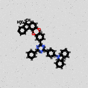 CC1(C)c2ccccc2-c2c1ccc1c2Oc2cc(-c3nc(-c4ccccc4)nc(-c4ccc(-n5c6ccccc6c6ccccc65)cc4)n3)ccc2O1